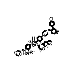 C[C@@H]1CCN(c2cc(N3CCN(CC4=C(c5ccc(Cl)cc5)CC(C)(C)CC4)CC3)ccc2C(=O)NS(=O)(=O)c2ccc(NC[C@H]3COCCO3)c([N+](=O)[O-])c2)c2cc3cc[nH]c3nc2O1